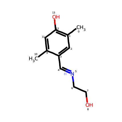 Cc1cc(/C=N/CCO)c(C)cc1O